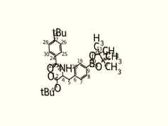 CC(C)(C)OC(=O)C(Cc1ccc(B2OC(C)(C)C(C)(C)O2)cc1)NC(=O)c1ccc(C(C)(C)C)cc1